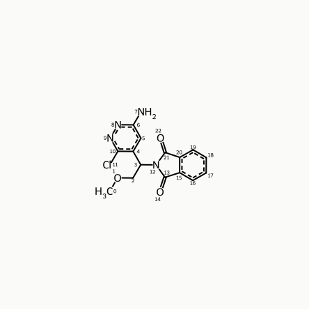 COCC(c1cc(N)nnc1Cl)N1C(=O)c2ccccc2C1=O